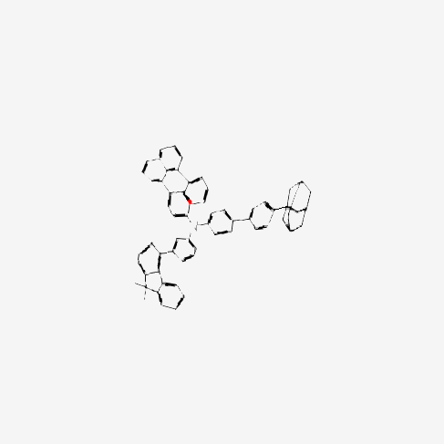 CC1(C)c2ccccc2-c2c(-c3cccc(N(c4ccc(-c5ccc(C67CC8CC(CC(C8)C6)C7)cc5)cc4)c4ccc(-c5cccc6cccc(-c7ccccc7)c56)cc4)c3)cccc21